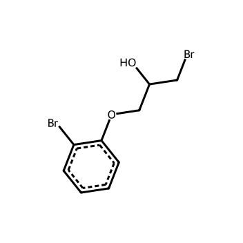 OC(CBr)COc1ccccc1Br